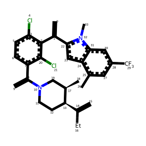 C=C(c1c(Cl)ccc(C(=C)N2CC[C@H](C(=C)CC)[C@H](C)C2)c1Cl)c1cc2c(C)cc(C(F)(F)F)cc2n1C